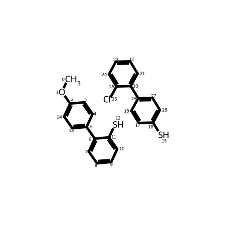 COc1ccc(-c2ccccc2S)cc1.Sc1ccc(-c2ccccc2Cl)cc1